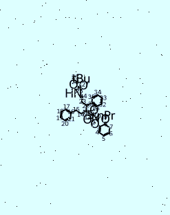 CCCN(OC1=CC=CCC1=O)S(=O)(=O)[C@@H](CCc1ccccc1)C(CCNC(=O)OC(C)(C)C)c1ccccc1